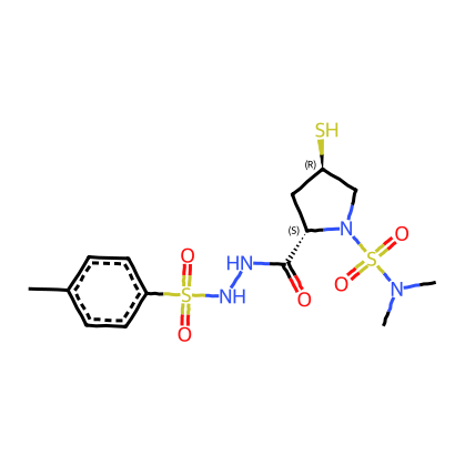 Cc1ccc(S(=O)(=O)NNC(=O)[C@@H]2C[C@@H](S)CN2S(=O)(=O)N(C)C)cc1